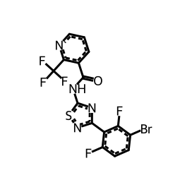 O=C(Nc1nc(-c2c(F)ccc(Br)c2F)ns1)c1cccnc1C(F)(F)F